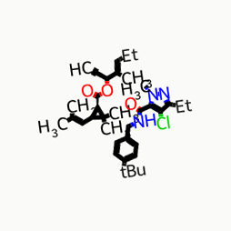 C#CC(OC(=O)[C@@H]1C(C=C(C)C)C1(C)C)/C(C)=C/CC.CCc1nn(C)c(C(=O)NCc2ccc(C(C)(C)C)cc2)c1Cl